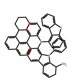 CC1CC=Cc2c1n(-c1ccccc1)c1c(N(c3ccccc3-c3cccc4cccc(C5CCCCC5)c34)c3cccc4sc5ccccc5c34)cccc21